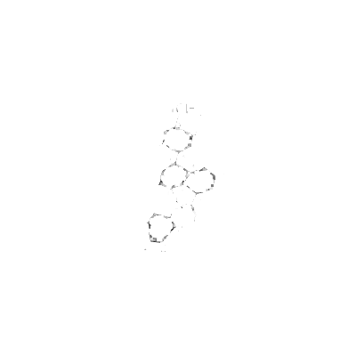 Cc1ccc(-c2ccc3c4c(cccc24)C(=O)N3c2ccccc2)cc1